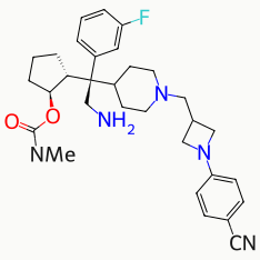 CNC(=O)O[C@H]1CCC[C@@H]1[C@](CN)(c1cccc(F)c1)C1CCN(CC2CN(c3ccc(C#N)cc3)C2)CC1